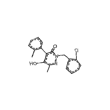 Cc1ccccc1-c1c(O)c(C)nn(Cc2ccccc2Cl)c1=O